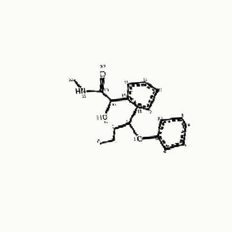 CCCC(Oc1ccccc1)c1ccccc1C(O)C(=O)NC